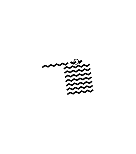 C=COC=C.CCCCCCCCCC.CCCCCCCCCC.CCCCCCCCCC.CCCCCCCCCC.CCCCCCCCCC.CCCCCCCCCC.CCCCCCCCCC.CCCCCCCCCC